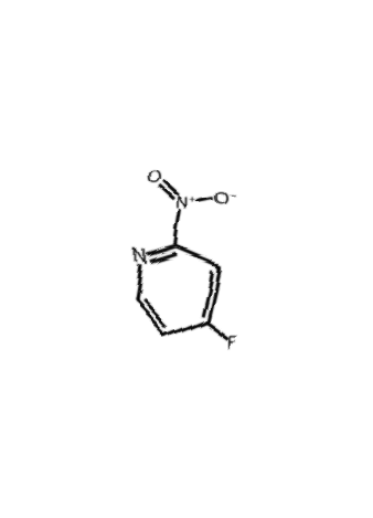 O=[N+]([O-])c1cc(F)ccn1